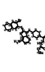 C[C@H](NC(=O)OC(C)(C)C)C(=O)N1CCC(Cn2c(Sc3cc4c(cc3Br)OCCO4)nc3c(N)ncnc32)CC1